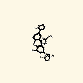 NC1=N[C@@]2(CS1)c1cc(-c3cccnc3F)ccc1Oc1c(F)cc(N3C[C@@H]4C[C@H]3CO4)cc12